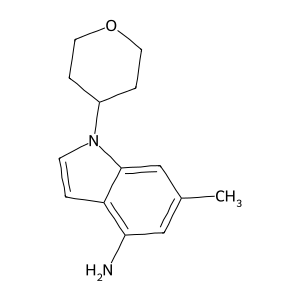 Cc1cc(N)c2ccn(C3CCOCC3)c2c1